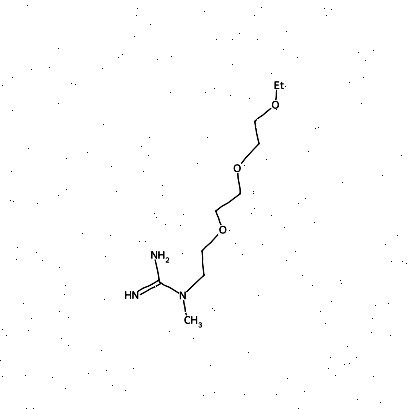 CCOCCOCCOCCN(C)C(=N)N